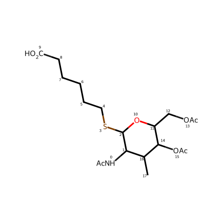 CC(=O)NC1C(SCCCCCC(=O)O)OC(COC(C)=O)C(OC(C)=O)C1C